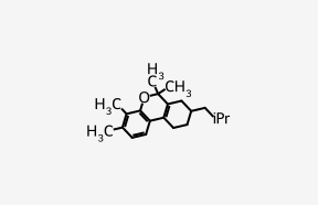 Cc1ccc2c(c1C)OC(C)(C)C1=C2CCC(CC(C)C)C1